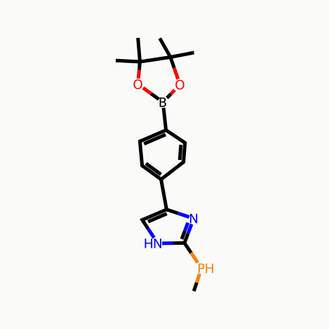 CPc1nc(-c2ccc(B3OC(C)(C)C(C)(C)O3)cc2)c[nH]1